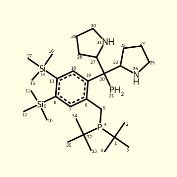 CC(C)(C)P(Cc1cc([Si](C)(C)C)c([Si](C)(C)C)cc1C(P)(C1CCCN1)C1CCCN1)C(C)(C)C